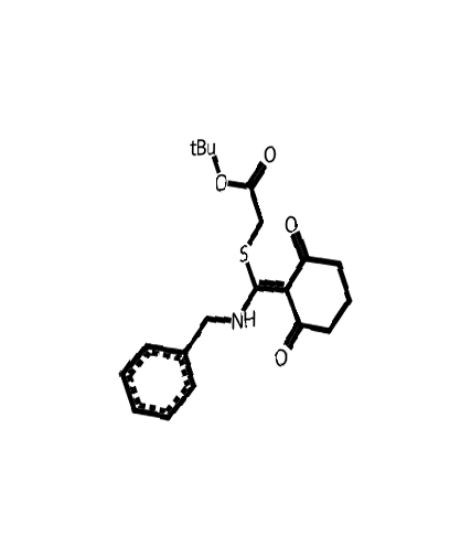 CC(C)(C)OC(=O)CSC(NCc1ccccc1)=C1C(=O)CCCC1=O